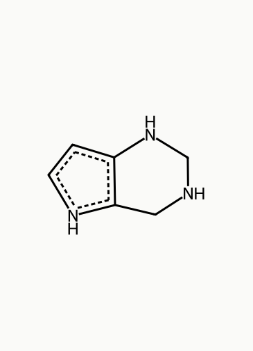 c1cc2c([nH]1)CNCN2